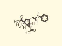 N[C@@]1(C(=O)O)C[C@H](CC(=O)Nc2ccccc2)[C@H]2[C@H](C(=O)O)[C@H]21